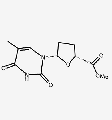 COC(=O)[C@H]1CC[C@@H](n2cc(C)c(=O)[nH]c2=O)O1